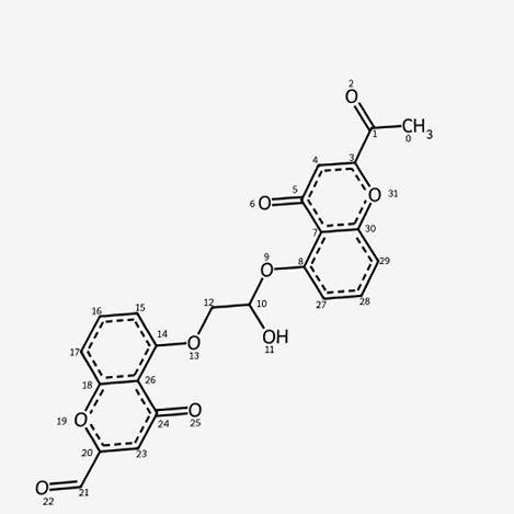 CC(=O)c1cc(=O)c2c(OC(O)COc3cccc4oc(C=O)cc(=O)c34)cccc2o1